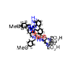 COc1ccc(CN(Cc2ccc(OC)cc2)S(=O)(=O)c2c(S(=O)(=O)NC(CN(C(=O)O)C(C)(C)C)CN(C(=O)O)C(C)(C)C)ccc(-c3cccc(N)c3N)c2-c2nnn(Cc3ccc(OC)cc3)n2)cc1